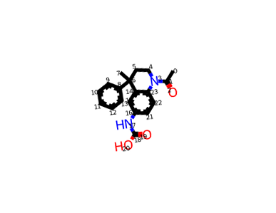 CC(=O)N1CCC(C)(c2ccccc2)c2cc(NC(=O)O)ccc21